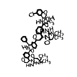 CCC1(CC)CC(=O)N([C@@H]2CCOc3ccc(C(=O)NC(c4ccccc4)c4cccc(C5C[C@@H](N6C(=N)NC(C)(C)CC6=O)c6cc(C(=O)N[C@@H]7c8cc(Cl)ccc8OC[C@@]7(C)O)ccc6O5)c4)cc32)C(=N)N1